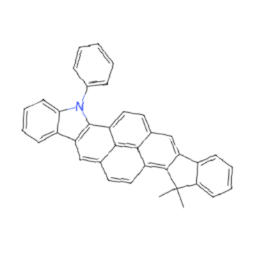 CC1(C)c2ccccc2-c2cc3ccc4c5c(ccc(c21)c35)cc1c2ccccc2n(-c2ccccc2)c14